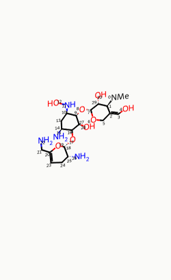 CN[C@H]1/C(=C\O)CO[C@H](O[C@H]2[C@H](NO)C[C@H](N)C(O[C@H]3OC(CN)=CC[C@H]3N)[C@@H]2O)[C@@H]1O